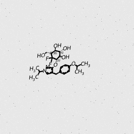 CC(C)Oc1ccc(Cc2cn(C(C)C)nc2O[C@H]2[C@H](O)[C@@H](O)[C@H](O)[C@@H](CO)C2(F)F)cc1